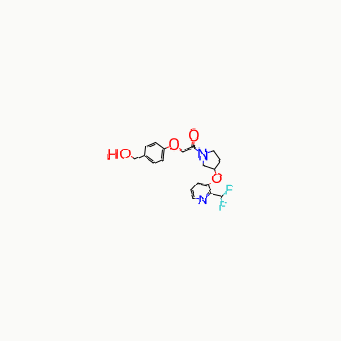 O=C(COc1ccc(CO)cc1)N1CCC(Oc2cccnc2C(F)F)C1